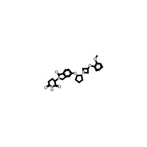 COc1ccccc1OC1CN([C@@H]2CCC[C@H]2Oc2ccc3c(c2)CN(C2CCC(=O)NC2=O)C3=O)C1